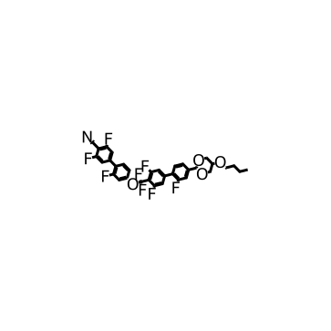 CCCCOC1COC(c2ccc(-c3cc(F)c(C(F)(F)Oc4ccc(-c5cc(F)c(C#N)c(F)c5)c(F)c4)c(F)c3)c(F)c2)OC1